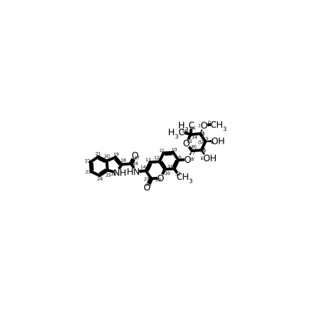 CO[C@@H]1[C@@H](O)[C@@H](O)[C@H](Oc2ccc3cc(NC(=O)c4cc5ccccc5[nH]4)c(=O)oc3c2C)OC1(C)C